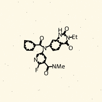 CCn1c(=O)[nH]c2cc(N(C(=O)c3ccccc3)c3cnc(F)c(C(=O)NC)c3)ccc2c1=O